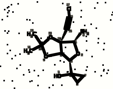 B[C@@H]1O[C@H](C2(O)CC2)C2OC(C)(C)O[C@]21C#CCl